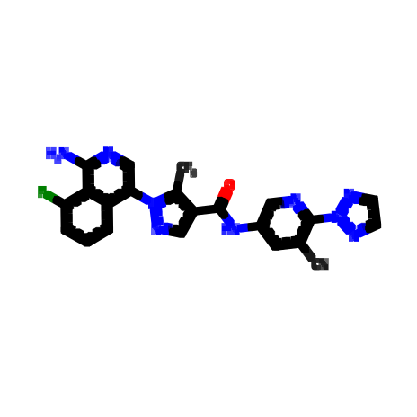 N#Cc1cc(NC(=O)c2cnn(-c3cnc(N)c4c(F)cccc34)c2C(F)(F)F)cnc1-n1nccn1